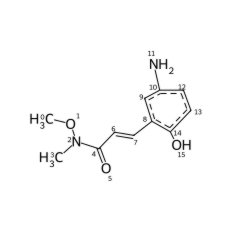 CON(C)C(=O)C=Cc1cc(N)ccc1O